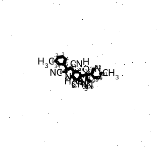 Cc1cccc(-c2c(C#N)nc3c(C)cc(C(O)(c4ccc(C)nc4)c4cncn4C)cc3c2C#N)c1